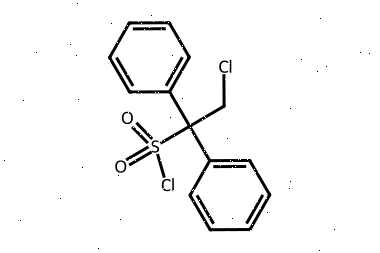 O=S(=O)(Cl)C(CCl)(c1ccccc1)c1ccccc1